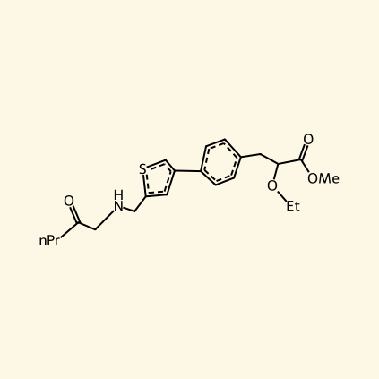 CCCC(=O)CNCc1cc(-c2ccc(CC(OCC)C(=O)OC)cc2)cs1